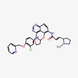 CN1CCCC1/C=C/C(=O)Nc1ccc2ncnc(Nc3ccc(OCc4ccccn4)c(Cl)c3)c2c1OC1CCOC1